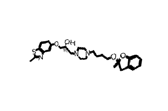 Cc1nc2cc(OC[C@H](O)CN3CCN(CCCCOC4(C)Cc5ccccc5O4)CC3)ccc2s1